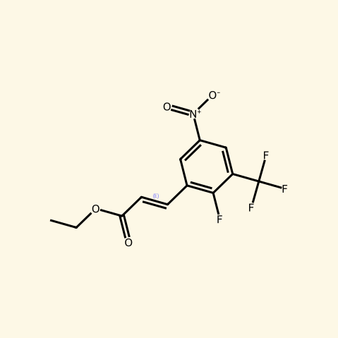 CCOC(=O)/C=C/c1cc([N+](=O)[O-])cc(C(F)(F)F)c1F